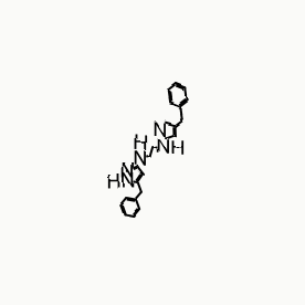 C1=C(Cc2ccccc2)CN=C1NCCNc1cc(Cc2ccccc2)[nH]n1